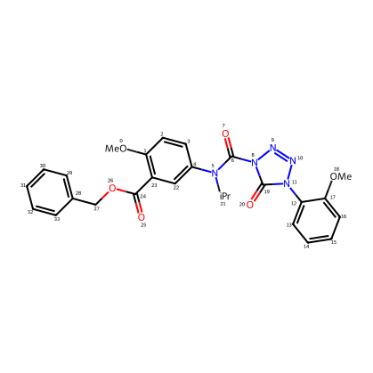 COc1ccc(N(C(=O)n2nnn(-c3ccccc3OC)c2=O)C(C)C)cc1C(=O)OCc1ccccc1